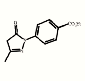 CCOC(=O)c1ccc(N2N=C(C)CC2=O)cc1